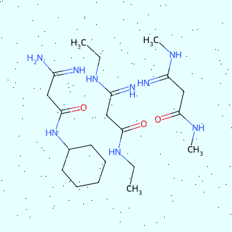 CCNC(=N)CC(=O)NCC.CNC(=N)CC(=O)NC.N=C(N)CC(=O)NC1CCCCC1